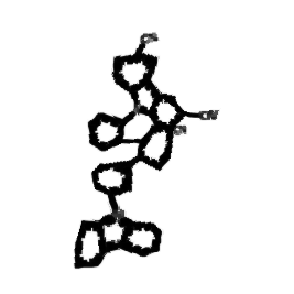 N#Cc1ccc(-c2cccc(-n3c4ccccc4c4ccccc43)c2)c(-c2ccccc2-n2c3ccc(C#N)cc3c3cc(C#N)ccc32)c1